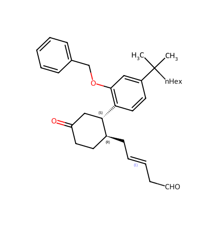 CCCCCCC(C)(C)c1ccc([C@H]2CC(=O)CC[C@@H]2C/C=C/CC=O)c(OCc2ccccc2)c1